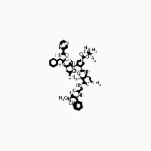 C=C(C)C[C@H](NC(=O)[C@@H](NC(=O)c1cnccn1)C1CCCCC1)C(=O)N[C@H]1CN(C(=O)OC(C)(C)C)C[C@H]1C(=O)N[C@@H](CCC)C(=O)C(=O)NCC(=O)N[C@H](C(=O)N(C)C)c1ccccc1